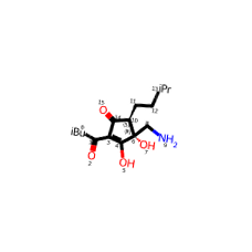 CCC(C)C(=O)C1=C(O)[C@](O)(CN)[C@H](CCC(C)C)C1=O